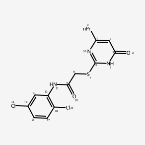 CCCc1cc(=O)[nH]c(SCC(=O)Nc2cc(Cl)ccc2Cl)n1